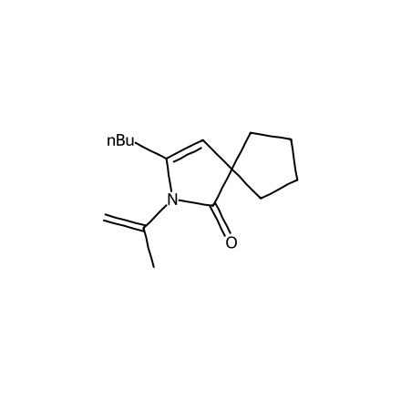 C=C(C)N1C(=O)C2(C=C1CCCC)CCCC2